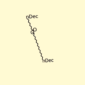 CCCCCCCCCCCCCCCCCCCCCCCCCCOC(=O)CCCCCCCCCCCCCCCCC